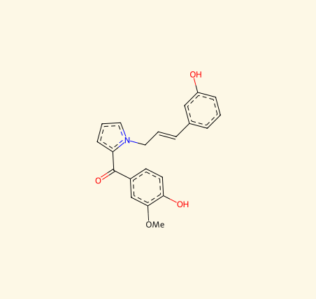 COc1cc(C(=O)c2cccn2C/C=C/c2cccc(O)c2)ccc1O